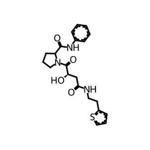 O=C(C[C@@H](O)C(=O)N1CCCC1C(=O)Nc1ccccc1)NCCc1cccs1